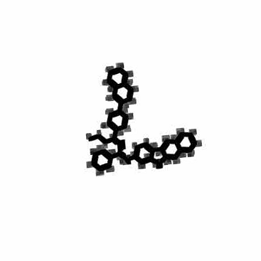 CCC/C(=N\C(=N/c1ccc2c(c1)sc1cc3ccccc3cc12)c1ccccc1)c1ccc(-c2ccc3ccccc3c2)cc1